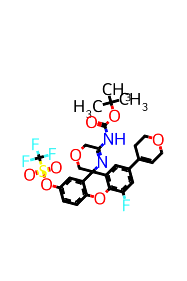 CC(C)(C)OC(=O)NC1=NC2(COC1)c1cc(OS(=O)(=O)C(F)(F)F)ccc1Oc1c(F)cc(C3=CCOCC3)cc12